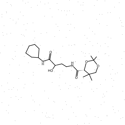 CC1(C)OCC(C)(C)[C@H](C(=O)NCCC(O)C(=O)NC2CCCCC2)O1